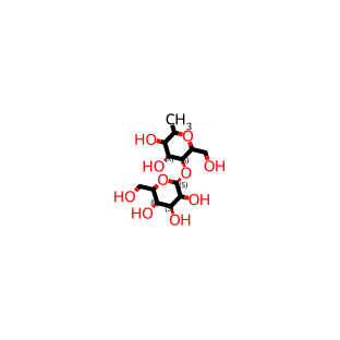 CC1OC(CO)[C@@H](O[C@@H]2OC(CO)[C@H](O)[C@H](O)C2O)[C@H](O)C1O